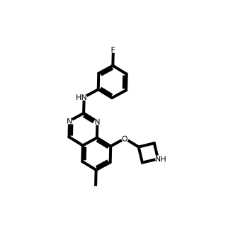 Cc1cc(OC2CNC2)c2nc(Nc3cccc(F)c3)ncc2c1